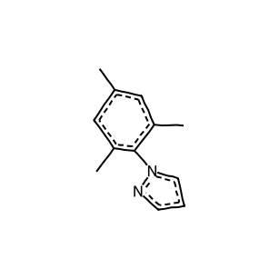 Cc1cc(C)c(-n2cccn2)c(C)c1